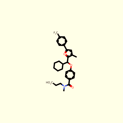 Cc1cc(-c2ccc(C(F)(F)F)cc2)oc1C(Oc1ccc(C(=O)N(C)CCC(=O)O)cc1)C1CCCCC1